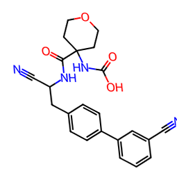 N#Cc1cccc(-c2ccc(CC(C#N)NC(=O)C3(NC(=O)O)CCOCC3)cc2)c1